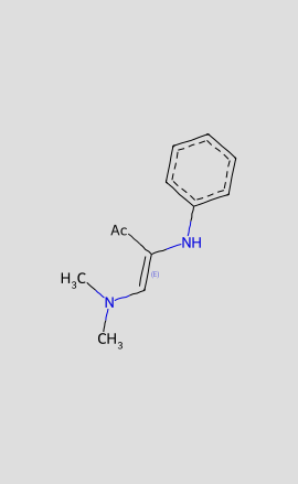 CC(=O)/C(=C\N(C)C)Nc1ccccc1